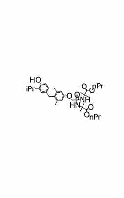 CCCOC(=O)C(C)(C)NP(=O)(COc1cc(C)c(Cc2ccc(O)c(C(C)C)c2)c(C)c1)NC(C)(C)C(=O)OCCC